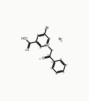 O=C(O)c1cc(Br)c[n+](CC(=O)c2ccccc2)c1.[Br-]